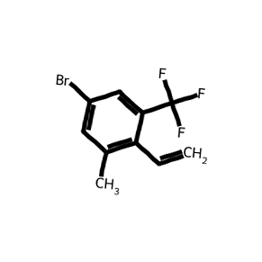 C=Cc1c(C)cc(Br)cc1C(F)(F)F